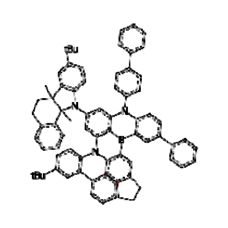 CC(C)(C)c1ccc(N2c3cc4c(cc3B3c5cc(-c6ccccc6)ccc5N(c5ccc(-c6ccccc6)cc5)c5cc(N6c7ccc(C(C)(C)C)cc7C7(C)CCc8ccccc8C67C)cc2c53)CCC4)c(-c2ccccc2)c1